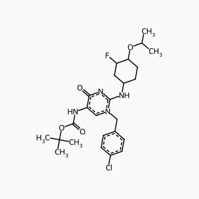 CC(C)OC1CCC(Nc2nc(=O)c(NC(=O)OC(C)(C)C)cn2Cc2ccc(Cl)cc2)CC1F